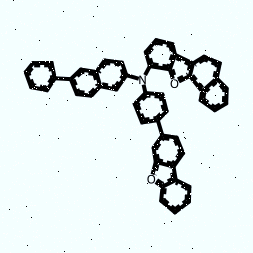 c1ccc(-c2ccc3cc(N(c4ccc(-c5ccc6c(c5)oc5ccccc56)cc4)c4cccc5c4oc4c6ccccc6ccc54)ccc3c2)cc1